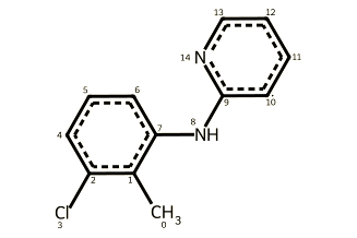 Cc1c(Cl)cccc1Nc1[c]cccn1